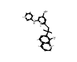 CC(C)(C)c1cc(CC(C)(C)c2ccc3cccnc3c2O)nc(Nc2cccnc2)c1